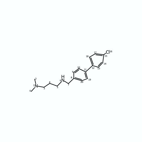 CN(C)CCCNCc1ccc(-c2ccc(Cl)cc2)cc1